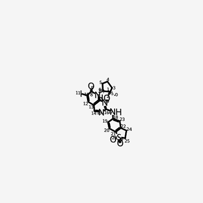 C[C@@]1(O)CCC[C@H]1n1c(=O)c(I)cc2cnc(Nc3ccc4c(c3)CCS4(=O)=O)nc21